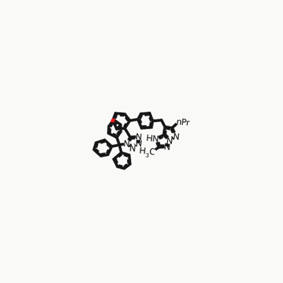 CCCc1nn2nc(C)[nH]c2c1Cc1ccc(-c2ccccc2-c2nnnn2C(c2ccccc2)(c2ccccc2)c2ccccc2)cc1